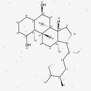 CC(C)[C@H](C)CC[C@@H](C)[C@H]1CC[C@H]2[C@@H]3C[C@H](O)C4CCCC(O)[C@]4(C)[C@H]3CC[C@]12C